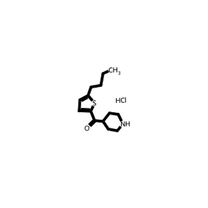 CCCCc1ccc(C(=O)C2CCNCC2)s1.Cl